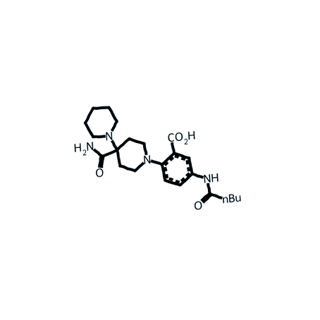 CCCCC(=O)Nc1ccc(N2CCC(C(N)=O)(N3CCCCC3)CC2)c(C(=O)O)c1